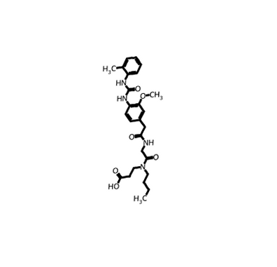 CCCCN(CCC(=O)O)C(=O)CNC(=O)Cc1ccc(NC(=O)Nc2ccccc2C)c(OC)c1